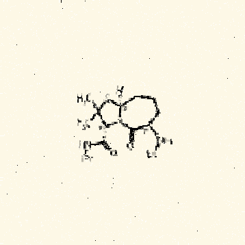 CCN[C@@H]1CCC[C@@H]2SC(C)(C)[C@@H](C(=O)NC(C)C)N2C1=O